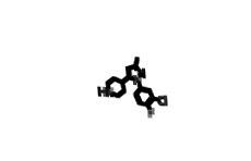 Cc1cc(C2CCNCC2)n(-c2ccc(F)c(Cl)c2)n1